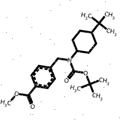 COC(=O)c1ccc(CN(C(=O)OC(C)(C)C)C2CCC(C(C)(C)C)CC2)cc1